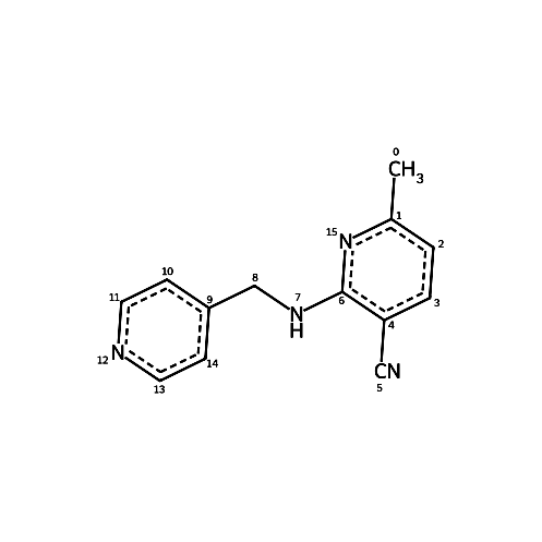 Cc1ccc(C#N)c(NCc2ccncc2)n1